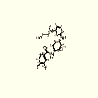 CN(CCO)c1ccnc(N[C@H]2CC[C@@H](NC(=O)c3ccc(F)c(F)c3)CC2)n1.Cl